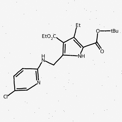 CCOC(=O)c1c(CNc2ccc(Cl)cn2)[nH]c(C(=O)OC(C)(C)C)c1CC